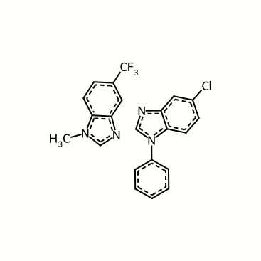 Clc1ccc2c(c1)ncn2-c1ccccc1.Cn1cnc2cc(C(F)(F)F)ccc21